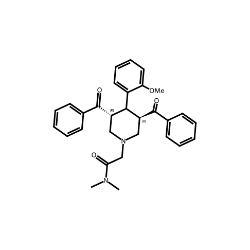 COc1ccccc1C1[C@@H](C(=O)c2ccccc2)CN(CC(=O)N(C)C)C[C@@H]1C(=O)c1ccccc1